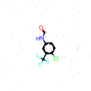 O=[C]Nc1ccc(Cl)c(C(F)(F)F)c1